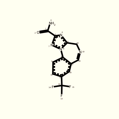 NC(=O)c1nc2n(n1)-c1ccc(C(F)(F)F)cc1C=NC2